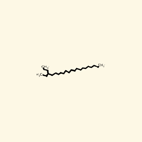 [CH2]CCCCCCCCCCCCCCCCCC(CC)CC[CH2]